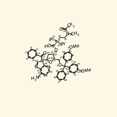 COc1ccc(C(OC[C@H]2O[C@@H]([N+]3(C(=O)c4ccccc4)C=Nc4c(N)ncnc43)C[C@@H]2OP(O)[N+](CCN(C)C(=O)C(F)(F)F)(C(C)C)C(C)C)(c2ccccc2)c2ccc(OC)cc2)cc1